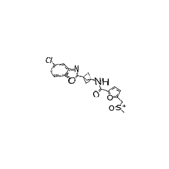 C[S+]([O-])Cc1ccc(C(=O)NC23CC(c4nc5cc(Cl)ccc5o4)(C2)C3)o1